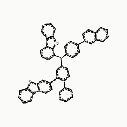 c1ccc(-c2ccc(N(c3ccc(-c4ccc5ccccc5c4)cc3)c3cccc4c3oc3ccccc34)cc2-c2ccc3c(c2)sc2ccccc23)cc1